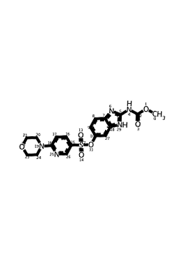 COC(=O)Nc1nc2ccc(OS(=O)(=O)c3ccc(N4CCOCC4)nc3)cc2[nH]1